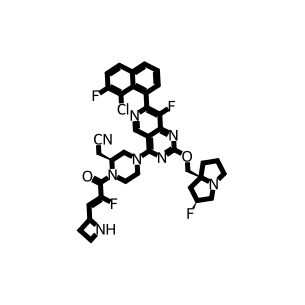 N#CC[C@H]1CN(c2nc(OC[C@@]34CCCN3C[C@H](F)C4)nc3c(F)c(-c4cccc5ccc(F)c(Cl)c45)ncc23)CCN1C(=O)/C(F)=C/C1CCN1